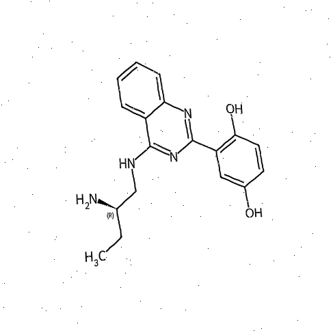 CC[C@@H](N)CNc1nc(-c2cc(O)ccc2O)nc2ccccc12